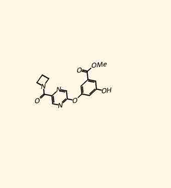 COC(=O)c1cc(O)cc(Oc2cnc(C(=O)N3CCC3)cn2)c1